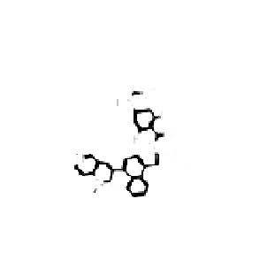 CC[C@@H](Nc1cc(F)c(C(=O)N[C@@H](Cc2ccc(-c3cc4cnccc4n(C)c3=O)c3ccccc23)C(=O)O)c(F)c1)C(F)(F)F